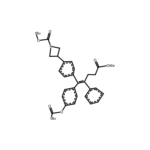 COC(=O)CCC(=C(c1ccc(OC(=O)C(C)(C)C)cc1)c1ccc(C2CN(C(=O)OC(C)(C)C)C2)cc1)c1ccccc1